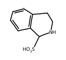 O=S(=O)(O)C1NCCc2[c]cccc21